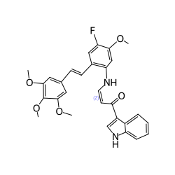 COc1cc(N/C=C\C(=O)c2c[nH]c3ccccc23)c(C=Cc2cc(OC)c(OC)c(OC)c2)cc1F